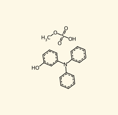 COS(=O)(=O)O.Oc1cccc(N(c2ccccc2)c2ccccc2)c1